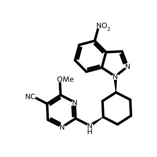 COc1nc(N[C@@H]2CCC[C@H](n3ncc4c([N+](=O)[O-])cccc43)C2)ncc1C#N